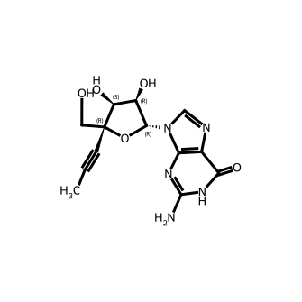 CC#C[C@]1(CO)O[C@@H](n2cnc3c(=O)[nH]c(N)nc32)[C@H](O)[C@@H]1O